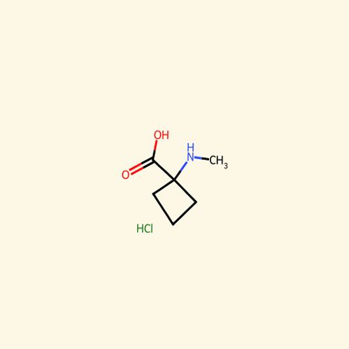 CNC1(C(=O)O)CCC1.Cl